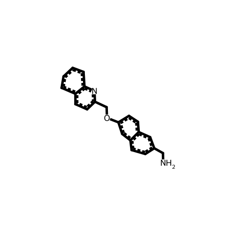 NCc1ccc2cc(OCc3ccc4ccccc4n3)ccc2c1